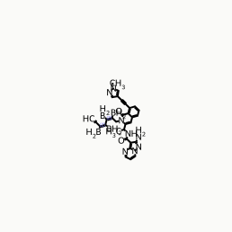 B/C(C#C)=C(B)/C(B)=C(/B)Cn1c(C(C)NC(=O)c2c(N)nn3cccnc23)cc2cccc(C#Cc3cnn(C)c3)c2c1=O